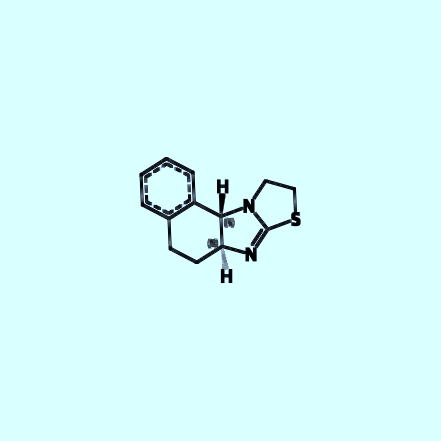 c1ccc2c(c1)CC[C@@H]1N=C3SCCN3[C@@H]21